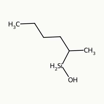 CCCCC(C)[SiH2]O